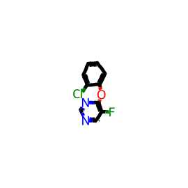 Fc1[c]ncnc1Oc1ccccc1Cl